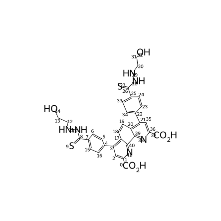 O=C(O)c1cc(-c2ccc(C(=S)NNCCO)cc2)c2ccc3c(-c4ccc(C(=S)NNCCO)cc4)cc(C(=O)O)nc3c2n1